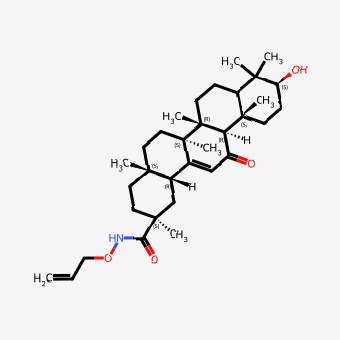 C=CCONC(=O)[C@@]1(C)CC[C@]2(C)CC[C@]3(C)C(=CC(=O)[C@@H]4[C@@]5(C)CC[C@H](O)C(C)(C)C5CC[C@]43C)[C@@H]2C1